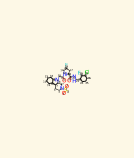 CS(=O)(=O)N1CCc2c(n(CC(=O)N3C[C@H](F)C[C@H]3C(=O)NCc3cccc(Cl)c3F)c3ccccc23)C1